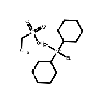 CCS(=O)(=O)O.CC[N+](CC)(C1CCCCC1)C1CCCCC1